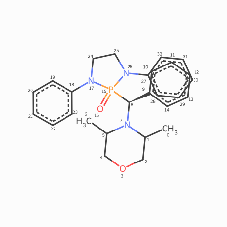 CC1COCC(C)N1[C@H](c1ccccc1)P1(=O)N(c2ccccc2)CCN1c1ccccc1